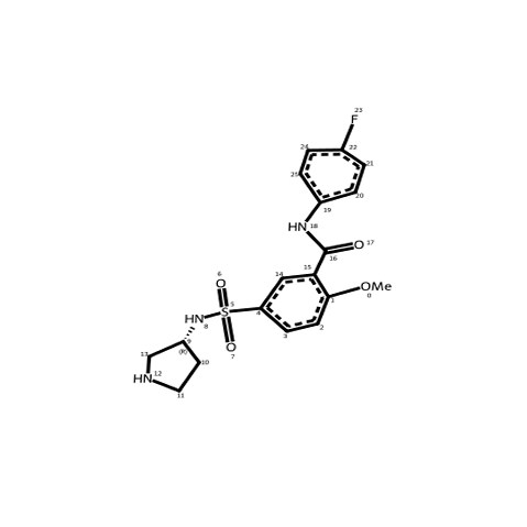 COc1ccc(S(=O)(=O)N[C@@H]2CCNC2)cc1C(=O)Nc1ccc(F)cc1